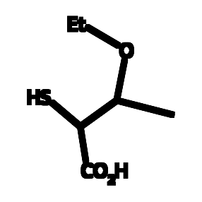 CCOC(C)C(S)C(=O)O